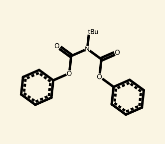 CC(C)(C)N(C(=O)Oc1ccccc1)C(=O)Oc1ccccc1